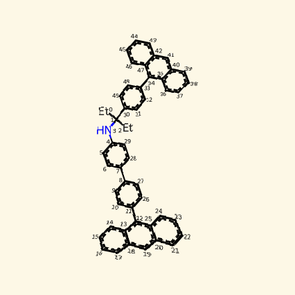 CCC(CC)(Nc1ccc(-c2ccc(-c3c4ccccc4cc4ccccc34)cc2)cc1)c1ccc(-c2c3ccccc3cc3ccccc23)cc1